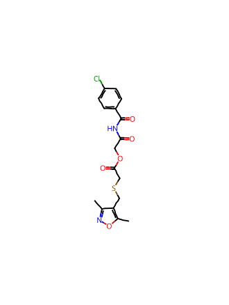 Cc1noc(C)c1CSCC(=O)OCC(=O)NC(=O)c1ccc(Cl)cc1